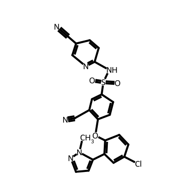 Cn1nccc1-c1cc(Cl)ccc1Oc1ccc(S(=O)(=O)Nc2ccc(C#N)cn2)cc1C#N